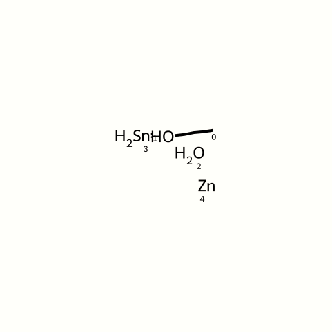 CO.O.[SnH2].[Zn]